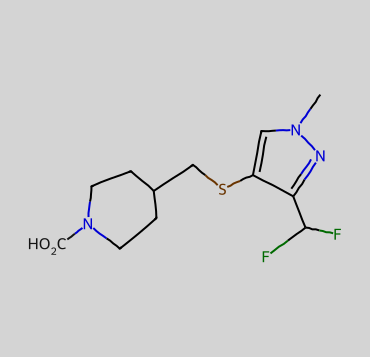 Cn1cc(SCC2CCN(C(=O)O)CC2)c(C(F)F)n1